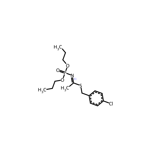 CCCOP(=O)(/N=C(\C)SCc1ccc(Cl)cc1)OCCC